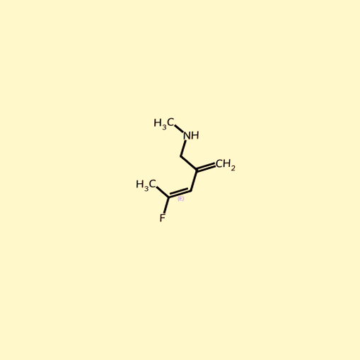 C=C(/C=C(\C)F)CNC